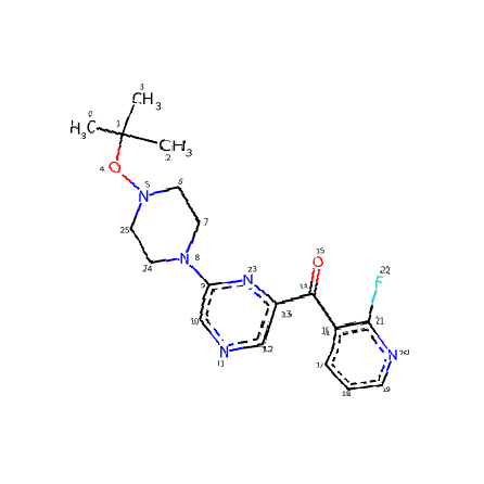 CC(C)(C)ON1CCN(c2cncc(C(=O)c3cccnc3F)n2)CC1